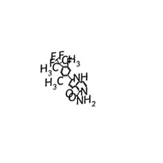 Cc1cc(C(C)(C)C(F)(F)F)c(F)cc1-c1cc(=O)c2c(C(N)=O)nccc2[nH]1